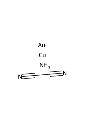 N.N#CC#N.[Au].[Cu]